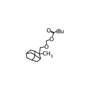 CCC(C)C(=O)OCOCC1(C)C2CC3CC(C2)CC1C3